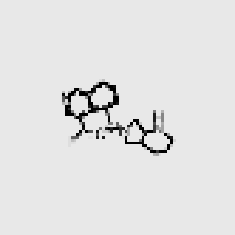 [O-][S+](c1cccc2cncc(C(F)F)c12)N1CC2CCCNC2C1